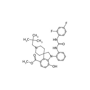 COC(=O)c1ccc(O)c2c1C1(CCN(CC(C)(C)C)CC1)CN2c1ccccc1NC(=O)Nc1ccc(F)cc1F